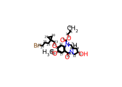 C=CCOC(=O)N1C[C@@H]2C[C@@H](O)CN2C(=O)c2cc(OC)c(OCC3(CCCBr)CC3)cc21